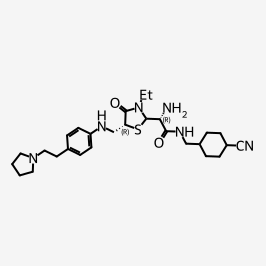 CCN1C(=O)[C@@H](CNc2ccc(CCN3CCCC3)cc2)SC1[C@H](N)C(=O)NCC1CCC(C#N)CC1